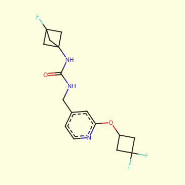 O=C(NCc1ccnc(OC2CC(F)(F)C2)c1)NC12CC(F)(C1)C2